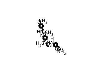 COc1ccc(CNc2nc3cc(N(C)c4ccnc(Nc5ccc(CS(N)(=O)=O)cc5)n4)ccc3n2C)cc1